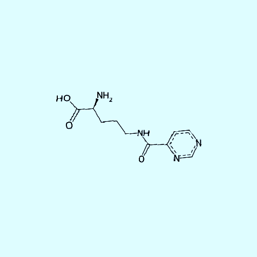 N[C@@H](CCCNC(=O)c1ccncn1)C(=O)O